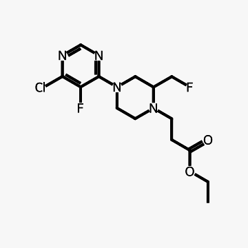 CCOC(=O)CCN1CCN(c2ncnc(Cl)c2F)CC1CF